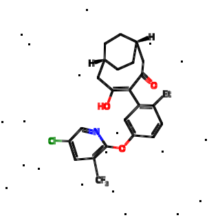 CCc1ccc(Oc2ncc(Cl)cc2C(F)(F)F)cc1/C1=C(\O)C[C@H]2CC[C@H](CC2)CC1=O